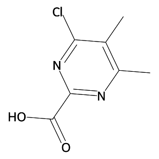 Cc1nc(C(=O)O)nc(Cl)c1C